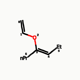 C=COC(=CCC)CCC